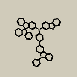 C1=Cc2oc3cc(N(C4=CCC(C5=Cc6c(n(-c7ccccc7)c7ccccc67)CC5)C=C4)c4ccc5c(c4)C(c4ccccc4)(C4CCCCC4)C4C=CCCC54)ccc3c2CC1